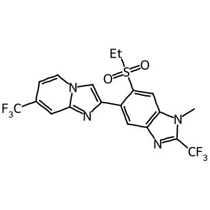 CCS(=O)(=O)c1cc2c(cc1-c1cn3ccc(C(F)(F)F)cc3n1)nc(C(F)(F)F)n2C